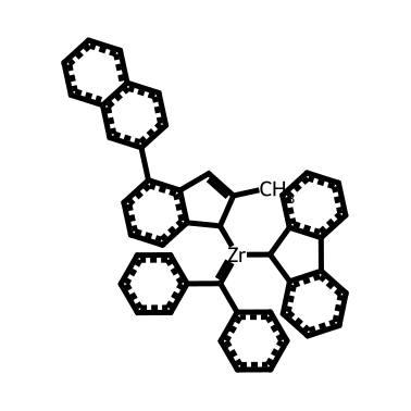 CC1=Cc2c(-c3ccc4ccccc4c3)cccc2[CH]1[Zr](=[C](c1ccccc1)c1ccccc1)[CH]1c2ccccc2-c2ccccc21